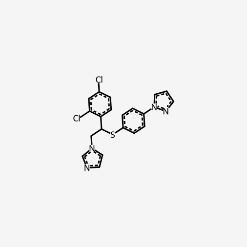 Clc1ccc(C(Cn2ccnc2)Sc2ccc(-n3cccn3)cc2)c(Cl)c1